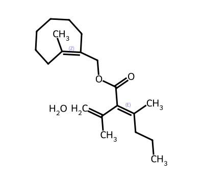 C=C(C)/C(C(=O)OC/C1=C(/C)CCCCCC1)=C(/C)CCC.O